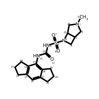 CN1CC2CN(S(=O)(=O)NC(=O)Nc3c4c(cc5c3CCC5)CCC4)C2C1